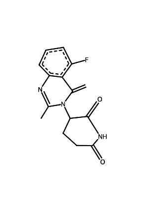 C=C1c2c(F)cccc2N=C(C)N1C1CCC(=O)NC1=O